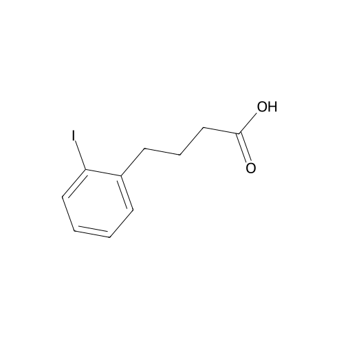 O=C(O)CCCc1ccccc1I